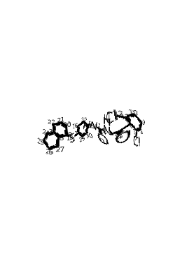 O=C(NC(=O)c1c(Cl)cccc1Cl)Nc1ccc(Sc2cccc3ccccc23)cc1